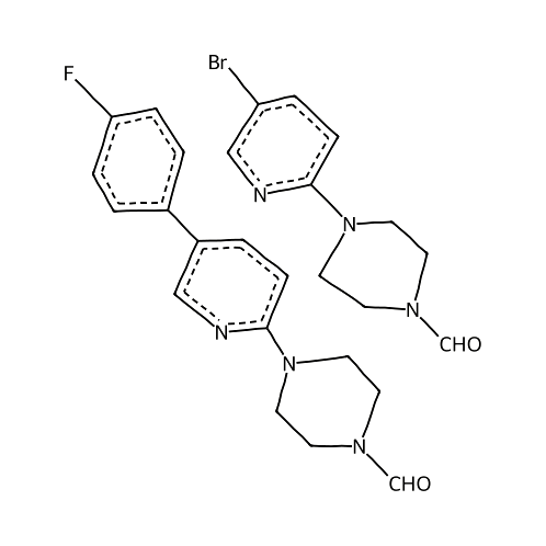 O=CN1CCN(c2ccc(-c3ccc(F)cc3)cn2)CC1.O=CN1CCN(c2ccc(Br)cn2)CC1